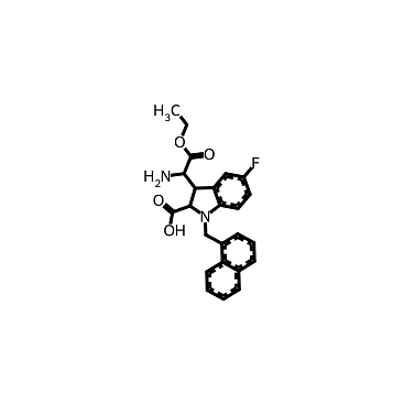 CCOC(=O)C(N)C1c2cc(F)ccc2N(Cc2cccc3ccccc23)C1C(=O)O